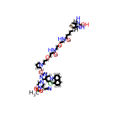 CS(=O)(=O)N1CCN(c2nc(OC[C@@H]3CCCN3CCCOCCC(=O)NCCOCCNC(=O)CCCC[C@@H]3SC[C@@H]4NC(O)N[C@@H]43)nc3c2CCN(c2cccc4cccc(Cl)c24)C3)C[C@@H]1CC#N